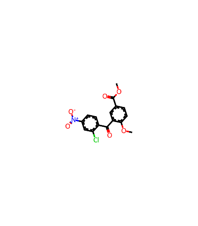 COC(=O)c1ccc(OC)c(C(=O)c2ccc([N+](=O)[O-])cc2Cl)c1